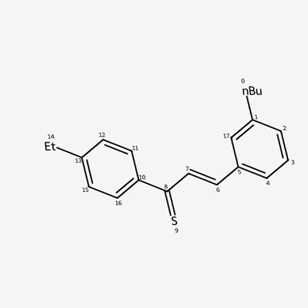 CCCCc1cccc(C=CC(=S)c2ccc(CC)cc2)c1